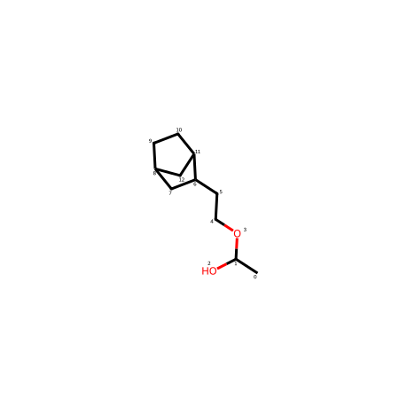 CC(O)OCCC1CC2CCC1C2